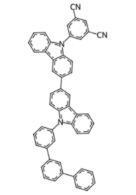 N#Cc1cc(C#N)cc(-n2c3ccccc3c3cc(-c4ccc5c(c4)c4ccccc4n5-c4cccc(-c5cccc(-c6ccccc6)c5)c4)ccc32)c1